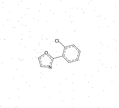 Clc1cc[c]cc1-c1ncco1